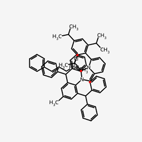 Cc1cc(C(c2ccccc2)c2ccccc2)c(-n2cc3cccc(-c4c(C(C)C)cc(C(C)C)cc4C(C)C)n3[c]2=[Pd-2]([Cl])[CH2]C=Cc2ccccc2)c(C(c2ccccc2)c2ccccc2)c1